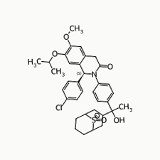 COc1cc2c(cc1OC(C)C)[C@H](c1ccc(Cl)cc1)N(c1ccc(C(C)(O)C3CC4CCCC(C3)S4(=O)=O)cc1)C(=O)C2